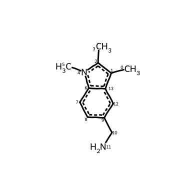 Cc1c(C)n(C)c2ccc(CN)cc12